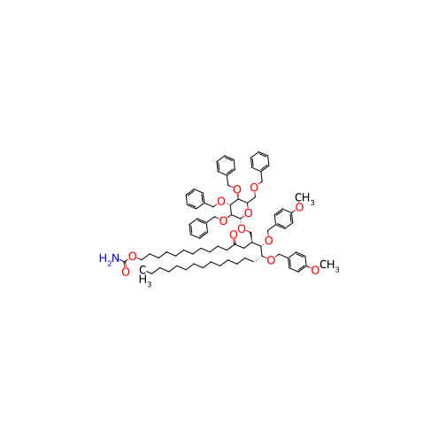 CCCCCCCCCCCCCC[C@@H](OCc1ccc(OC)cc1)[C@@H](OCc1ccc(OC)cc1)[C@H](CO[C@H]1OC(COCc2ccccc2)[C@H](OCc2ccccc2)[C@@H](OCc2ccccc2)[C@@H]1OCc1ccccc1)CC(=O)CCCCCCCCCCCOC(N)=O